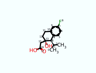 CC(C)[C@@H]1c2ccc(F)cc2CC[C@@]1(O)CC(=O)O